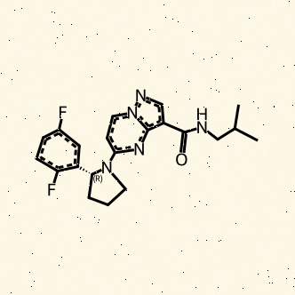 CC(C)CNC(=O)c1cnn2ccc(N3CCC[C@@H]3c3cc(F)ccc3F)nc12